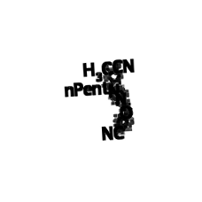 CCCCCC(c1ccc(C#N)c(C)c1)N1CCN(CCOc2ccc(C#N)cc2)CC1